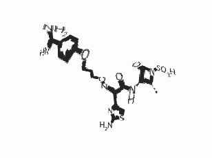 C[C@@H]1[C@H](NC(=O)C(=NOCCCOc2ccc(C(=N)N)cc2)c2csc(N)n2)C(=O)N1S(=O)(=O)O